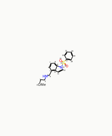 COCCNCc1cccc2c1ccn2S(=O)(=O)c1ccccc1